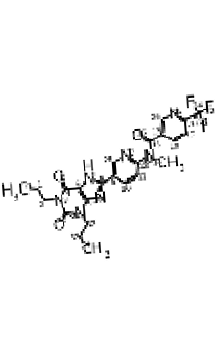 CCCn1c(=O)c2[nH]c(-c3ccc(N(C)C(=O)c4ccc(C(F)(F)F)nc4)nc3)nc2n(CCC)c1=O